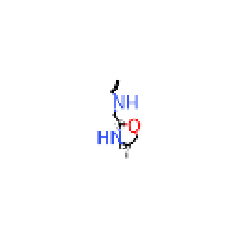 C=CNC[C@@H]1N[C@@H](C)CO1